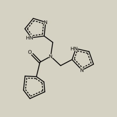 O=C(c1ccccc1)N(Cc1ncc[nH]1)Cc1ncc[nH]1